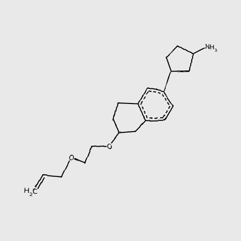 C=CCOCCOC1CCc2cc(C3CCC(N)C3)ccc2C1